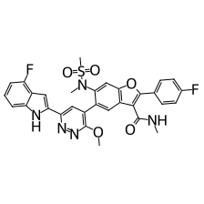 CNC(=O)c1c(-c2ccc(F)cc2)oc2cc(N(C)S(C)(=O)=O)c(-c3cc(-c4cc5c(F)cccc5[nH]4)nnc3OC)cc12